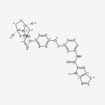 Cn1c(C(=O)Nc2cccc(COc3ccc(O[C@@H]4C[C@H]5CC[C@@H](C4)N5BC=O)cc3)c2)cc2sccc21